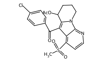 CC(=O)OC1CCCn2c1c(C(=O)c1ccc(Cl)cc1)c1c(S(C)(=O)=O)ccnc12